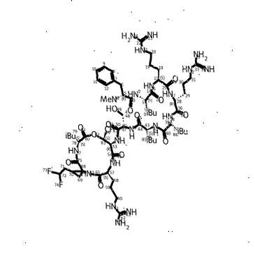 CC[C@H](C)[C@H](NC(=O)[C@@H](Cc1ccccc1)NC)C(=O)N[C@@H](CCCNC(=N)N)C(=O)N[C@H](CCCNC(=N)N)C(=O)N[C@@H](C(=O)N[C@H](C(=O)N[C@@H](CO)C(=O)N[C@H]1C(=O)N[C@@H](CCCNC(=N)N)C(=O)NC2(CC2CC(F)F)C(=O)N[C@@H]([C@@H](C)CC)C(=O)O[C@H]1C)[C@@H](C)CC)[C@@H](C)CC